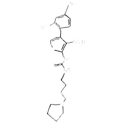 CCOC(=O)c1c(-c2ccc(OC)cc2OC)csc1NC(=O)NCCCCN1CCCC1